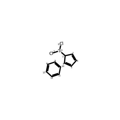 [Cl][Ti]([Cl])[CH]1C=CC=C1.c1ccccc1